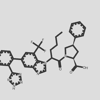 CCCCC(C(=O)N1C[C@@H](c2ccccc2)C[C@H]1C(=O)O)n1cnc2cc(-c3ccccc3-c3nn[nH]n3)cc(C(F)(F)F)c21